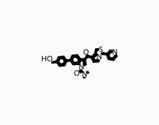 CN(C)C(=O)n1cc(C(=O)c2ccn3c2CSC3c2cccnc2)c2ccc(-c3ccc(CO)cc3)cc21